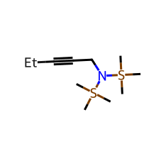 CCC#CCN(S(C)(C)C)S(C)(C)C